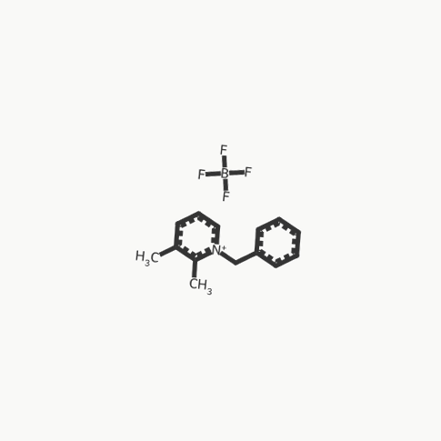 Cc1ccc[n+](Cc2ccccc2)c1C.F[B-](F)(F)F